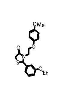 CCOc1cccc(C2SCC(=O)N2CCOc2ccc(OC)cc2)c1